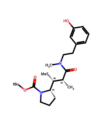 CS[C@H]([C@@H](C)C(=O)N(C)CCc1cccc(O)c1)[C@@H]1CCCN1C(=O)OC(C)(C)C